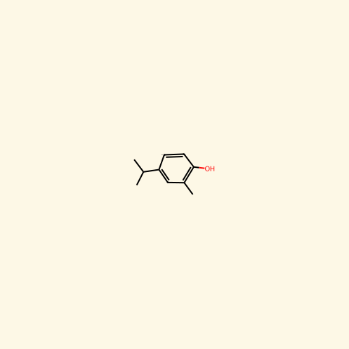 Cc1cc(C(C)C)[c]cc1O